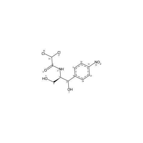 O=C(N[C@H](CO)C(O)c1ccc([N+](=O)[O-])cc1)C(Cl)Cl